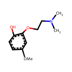 COc1ccc(O)c(OCCN(C)C)c1